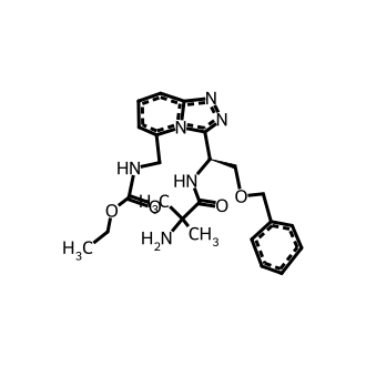 CCOC(=O)NCc1cccc2nnc([C@@H](COCc3ccccc3)NC(=O)C(C)(C)N)n12